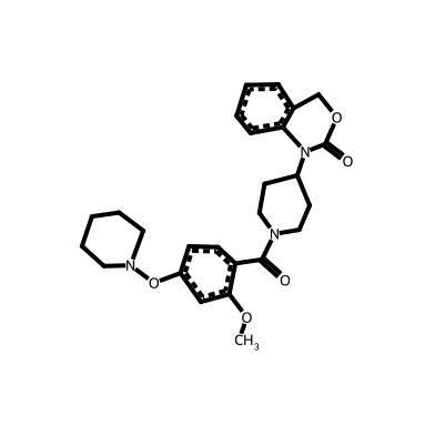 COc1cc(ON2CCCCC2)ccc1C(=O)N1CCC(N2C(=O)OCc3ccccc32)CC1